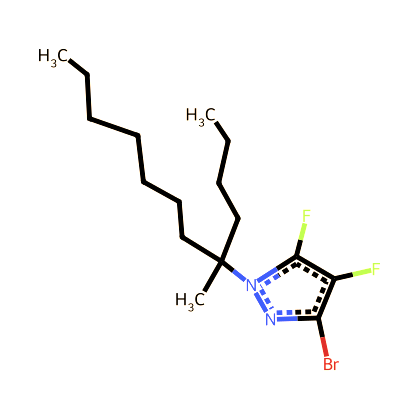 CCCCCCCC(C)(CCCC)n1nc(Br)c(F)c1F